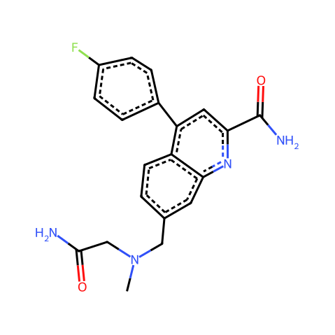 CN(CC(N)=O)Cc1ccc2c(-c3ccc(F)cc3)cc(C(N)=O)nc2c1